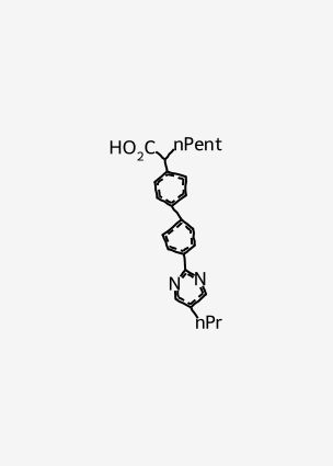 CCCCCC(C(=O)O)c1ccc(-c2ccc(-c3ncc(CCC)cn3)cc2)cc1